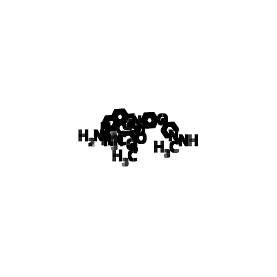 CCOC(=O)C(C(C)C)S(=O)(=O)N(Cc1ccc2ccc(C(=N)N)cc2c1)c1ccc(OC2CCN(C(C)=N)CC2)cc1